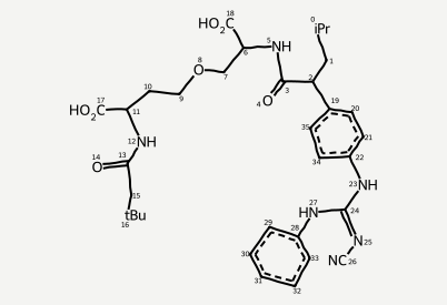 CC(C)CC(C(=O)NC(COCCC(NC(=O)CC(C)(C)C)C(=O)O)C(=O)O)c1ccc(NC(=NC#N)Nc2ccccc2)cc1